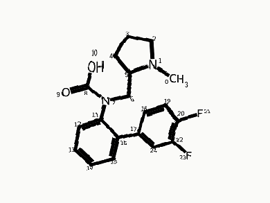 CN1CCCC1CN(C(=O)O)c1ccccc1-c1ccc(F)c(F)c1